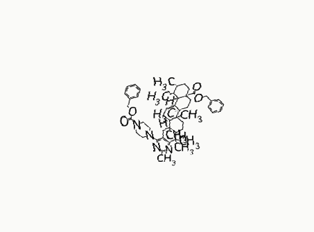 Cc1nc(N2CCN(C(=O)OCc3ccccc3)CC2)c2c(n1)C(C)(C)[C@@H]1CC[C@]3(C)[C@H](CC=C4[C@@H]5[C@@H](C)[C@H](C)CC[C@]5(C(=O)OCc5ccccc5)CC[C@]43C)[C@@]1(C)C2